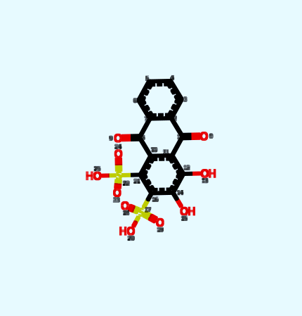 O=C1c2ccccc2C(=O)c2c1c(O)c(O)c(S(=O)(=O)O)c2S(=O)(=O)O